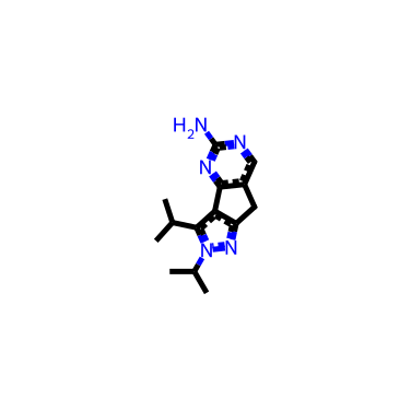 CC(C)c1c2c(nn1C(C)C)Cc1cnc(N)nc1-2